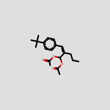 CCCC(=Cc1ccc(C(C)(C)C)cc1)C(OC(C)=O)OC(C)=O